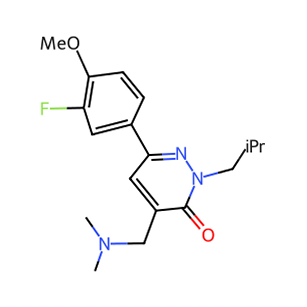 COc1ccc(-c2cc(CN(C)C)c(=O)n(CC(C)C)n2)cc1F